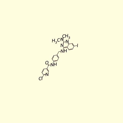 CN(C)c1nc(NCc2ccc(NC(=O)c3ccc(Cl)nc3)cc2)c2ccc(I)cc2n1